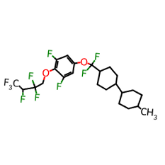 CC1CCC(C2CCC(C(F)(F)Oc3cc(F)c(OCC(F)(F)C(F)C(F)(F)F)c(F)c3)CC2)CC1